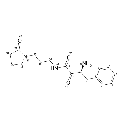 N[C@@H](Cc1ccccc1)C(=O)C(=O)NCCCN1CCCC1=O